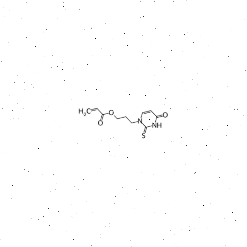 C=CC(=O)OCCCn1ccc(=O)[nH]c1=S